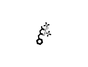 CC(CC(Cc1ccccc1)=NO[Si](C)(C)C)=NO[Si](C)(C)C